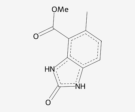 COC(=O)c1c(C)ccc2[nH]c(=O)[nH]c12